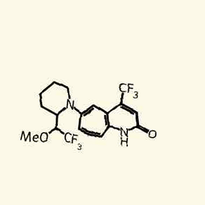 COC(C1CCCCN1c1ccc2[nH]c(=O)cc(C(F)(F)F)c2c1)C(F)(F)F